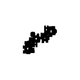 O=c1cc(-c2ccnc(NC3CCOCC3)n2)ccn1Cc1cc2cccc(F)c2[nH]1